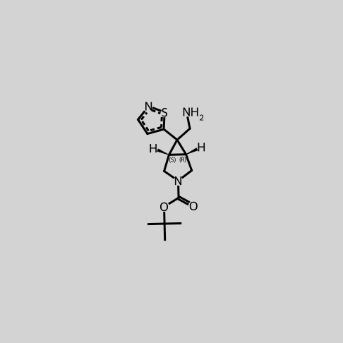 CC(C)(C)OC(=O)N1C[C@@H]2[C@H](C1)C2(CN)c1ccns1